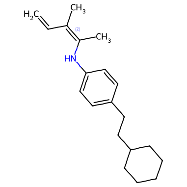 C=C/C(C)=C(/C)Nc1ccc(CCC2CCCCC2)cc1